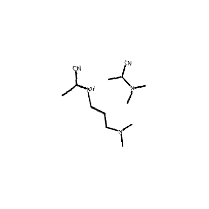 CC(C#N)N(C)C.CC(C#N)NCCCN(C)C